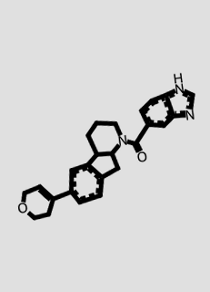 O=C(c1ccc2[nH]cnc2c1)N1CCCC2c3cc(C4=CCOCC4)ccc3CC21